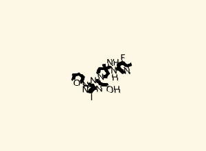 Cc1ncc(NC(=N)C2(C)CCN(c3nc4c(nc3CO)c(I)nn4C3CCCCO3)CC2)cc1F